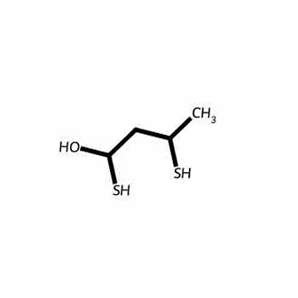 CC(S)CC(O)S